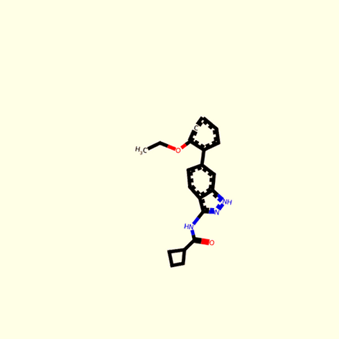 CCOc1ccccc1-c1ccc2c(NC(=O)C3CCC3)n[nH]c2c1